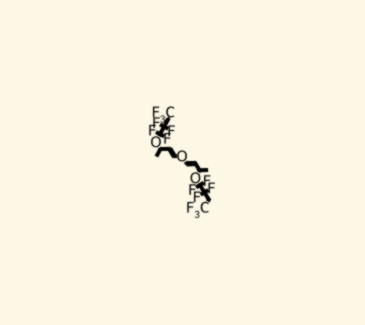 CC(C=COC=CC(C)OC(F)(F)C(F)(F)CC(F)(F)F)OC(F)(F)C(F)(F)CC(F)(F)F